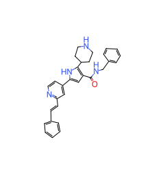 O=C(NCc1ccccc1)c1cc(-c2ccnc(C=Cc3ccccc3)c2)[nH]c1C1CCNCC1